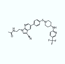 CC(=O)NCCn1cc(C#N)c2cc(-c3ccc(SN4CCC(Nc5ccc(C(F)(F)F)cn5)CC4)cc3)cnc21